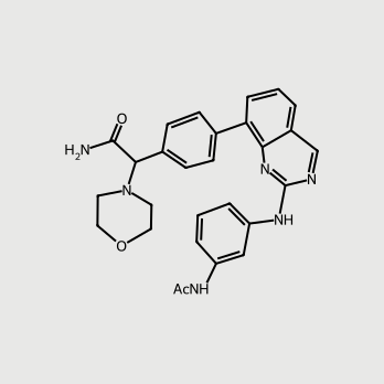 CC(=O)Nc1cccc(Nc2ncc3cccc(-c4ccc(C(C(N)=O)N5CCOCC5)cc4)c3n2)c1